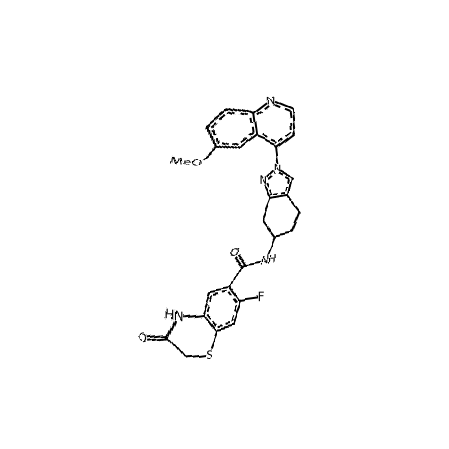 COc1ccc2nccc(-n3cc4c(n3)CC(NC(=O)c3cc5c(cc3F)SCC(=O)N5)CC4)c2c1